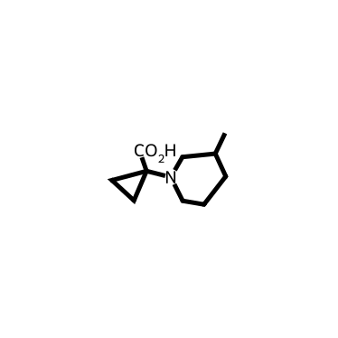 CC1CCCN(C2(C(=O)O)CC2)C1